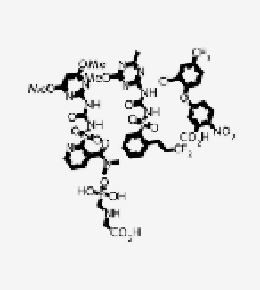 COc1cc(OC)nc(NC(=O)NS(=O)(=O)c2ncccc2C(=O)N(C)C)n1.COc1nc(C)nc(NC(=O)NS(=O)(=O)c2ccccc2CCC(F)(F)F)n1.O=C(O)CNCP(=O)(O)O.O=C(O)c1cc(Oc2ccc(C(F)(F)F)cc2Cl)ccc1[N+](=O)[O-]